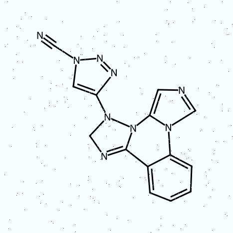 N#Cn1cc(N2CN=C3c4ccccc4-n4cncc4N32)nn1